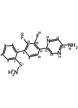 NSc1ccccc1-c1ccc(-c2cnc(N)cn2)c(F)c1F